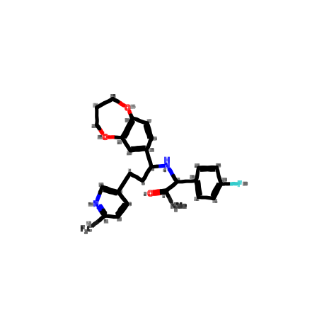 CNC(=O)C(NC(CCc1ccc(C(F)(F)F)nc1)c1ccc2c(c1)OCCCO2)c1ccc(F)cc1